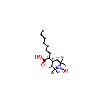 CCCCCCCC(C(=O)O)C1CC(C)(C)N(O)C(C)(C)C1